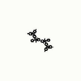 Cc1ccc(N(c2ccc(C)cc2)c2ccc(-n3c(-c4ccccc4)c(C)c4cc(-c5ccc6c(c5)c(C)c(-c5ccccc5)n6-c5ccc(N(c6ccc(C)cc6)c6ccc(C)cc6)cc5)ccc43)cc2)cc1